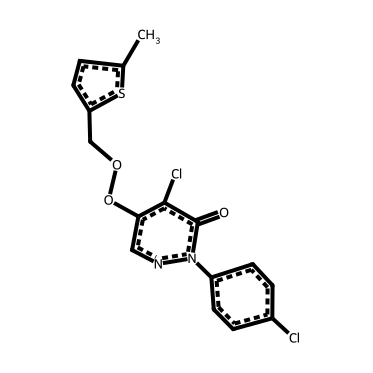 Cc1ccc(COOc2cnn(-c3ccc(Cl)cc3)c(=O)c2Cl)s1